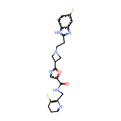 O=C(NCC1=C(F)CCC=N1)c1cnc(C2CN(CCc3nc4cc(F)ccc4[nH]3)C2)o1